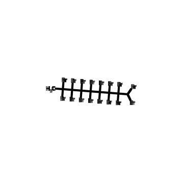 CC(Br)(Br)C(Br)(Br)C(Br)(Br)C(Br)(Br)C(Br)(Br)C(Br)(Br)C(Br)(Br)[C](Br)Br